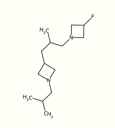 CC(C)CN1CC(CC(C)CN2CC(F)C2)C1